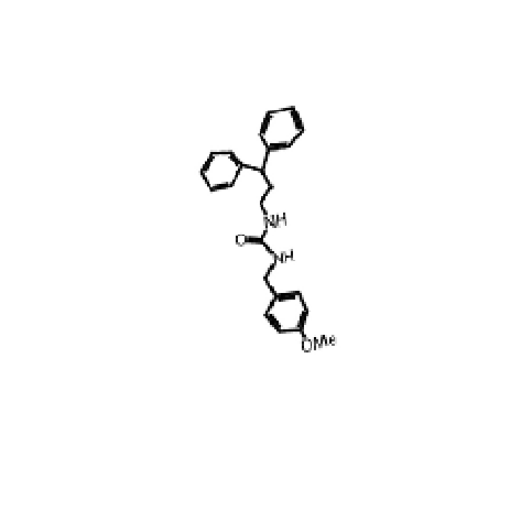 COc1ccc(CNC(=O)NCCC(c2ccccc2)c2ccccc2)cc1